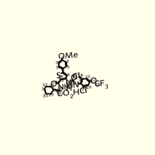 COc1ccc(-c2cc(NC(=O)Nc3c(Cl)cc(OC(F)(F)F)cc3Cl)c(C(=O)N[C@H](C(=O)O)C3CCCCC3)s2)cc1